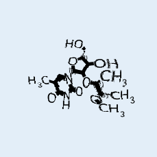 CO[C@@H](C)[C@@H](C)OC1C(O)[C@@H](CO)O[C@H]1n1cc(C)c(=O)[nH]c1=O